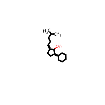 CC(C)CCC=C1CCC(=C2CCCCC2)C1O